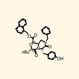 CCCC[C@H]1ON(C(=O)OCc2cccc3ccccc23)C2CN(Cc3ccccc3)C(=O)[C@H](Cc3ccc(O)cc3)N2C1=O